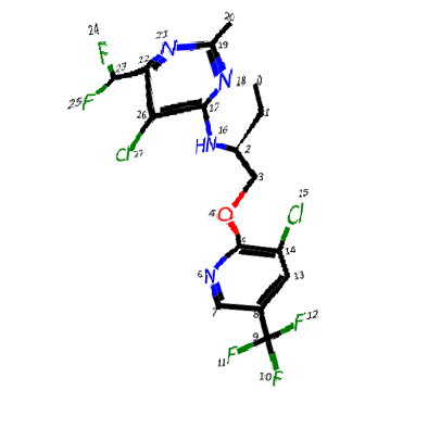 CC[C@@H](COc1ncc(C(F)(F)F)cc1Cl)Nc1nc(C)nc(C(F)F)c1Cl